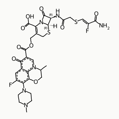 CC1COc2c(N3CCN(C)CC3)c(F)cc3c(=O)c(C(=O)OCC4=C(C(=O)O)N5C(=O)[C@@H](NC(=O)CSC=C(F)C(N)=O)[C@H]5SC4)cn1c23